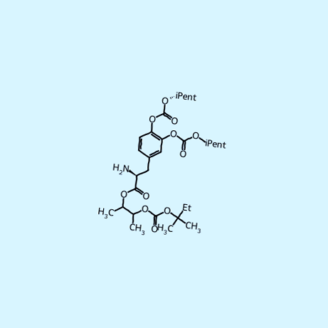 CCCC(C)OC(=O)Oc1cc(C[C@H](N)C(=O)OC(C)C(C)OC(=O)OC(C)(C)CC)ccc1OC(=O)O[C@@H](C)CCC